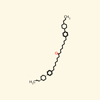 CCCC1CCC(c2ccc(CCCCCCCC(=O)CCCCCCCc3ccc([C@H]4CC[C@H](CCC)CC4)cc3)cc2)CC1